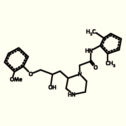 COc1ccccc1OCC(O)CC1CNCCN1CC(=O)Nc1c(C)cccc1C